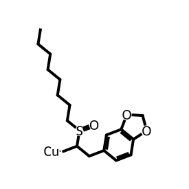 CCCCCCCCS(=O)C(C)Cc1ccc2c(c1)OCO2.[Cu]